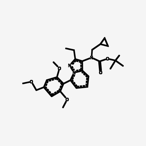 CCc1nn2c(-c3c(OC)cc(COC)cc3OC)cccc2c1N(CC1CC1)C(=O)OC(C)(C)C